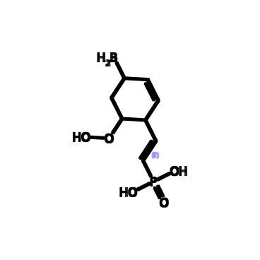 BC1C=CC(/C=C/P(=O)(O)O)C(OO)C1